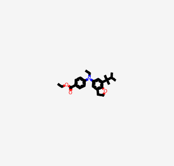 CCOC(=O)c1ccc(N(CC)c2cc3c(c(C(C)(C)C(C)C)c2)OCC3)cc1